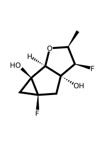 C[C@@H]1O[C@H]2[C@](O)(C[C@]3(F)C[C@]23O)[C@@H]1F